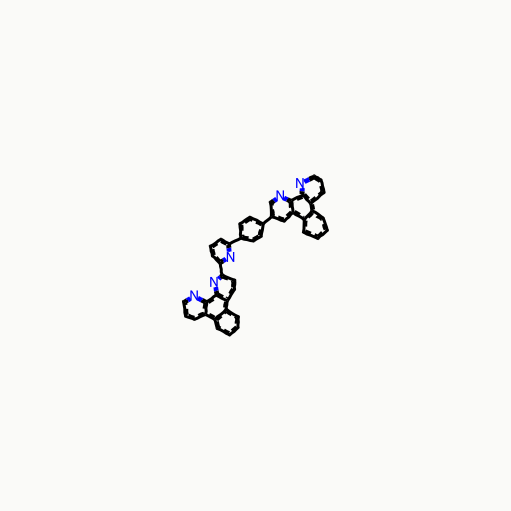 c1cc(-c2ccc(-c3cnc4c(c3)c3ccccc3c3cccnc34)cc2)nc(-c2ccc3c4ccccc4c4cccnc4c3n2)c1